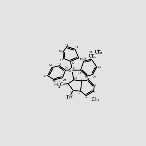 CC1[CH]([Ti+3])C2C=CC=CC2C1[Si](c1ccccc1)(c1ccccc1)c1ccccc1.[Cl-].[Cl-].[Cl-]